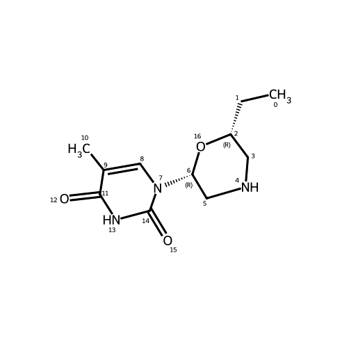 CC[C@@H]1CNC[C@H](n2cc(C)c(=O)[nH]c2=O)O1